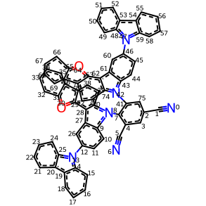 N#Cc1cc(C#N)c(-n2c3ccc(-n4c5ccccc5c5ccccc54)cc3c3c4oc5ccccc5c4ccc32)c(-n2c3ccc(-n4c5ccccc5c5ccccc54)cc3c3c4oc5ccccc5c4ccc32)c1